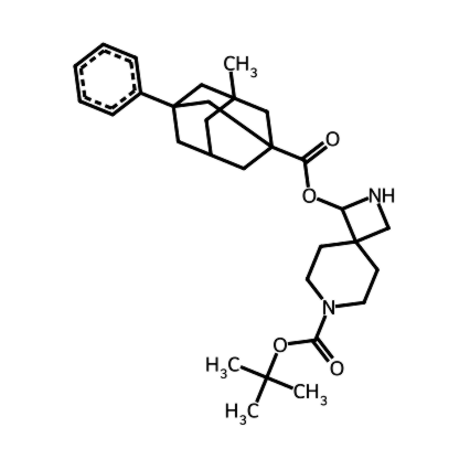 CC12CC3CC(C(=O)OC4NCC45CCN(C(=O)OC(C)(C)C)CC5)(C1)CC(c1ccccc1)(C3)C2